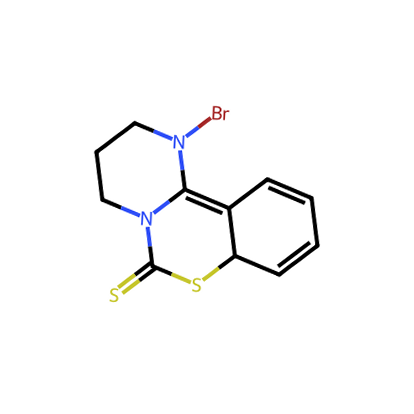 S=C1SC2C=CC=CC2=C2N(Br)CCCN12